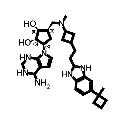 CN(C[C@H]1C[C@@H](n2ccc3c2NCNC3N)[C@H](O)[C@@H]1O)C1CC(CCC2Nc3ccc(C4(C)CCC4)cc3N2)C1